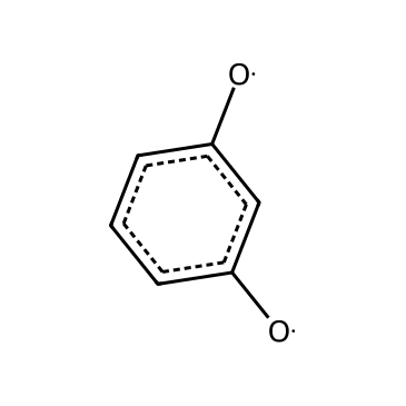 [O]c1cccc([O])c1